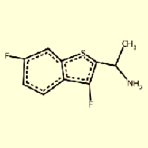 CC(N)c1sc2cc(F)ccc2c1F